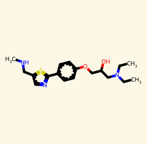 CCN(CC)CC(O)COc1ccc(-c2ncc(CNC)s2)cc1